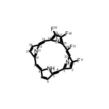 FC1=Cc2cc3ccc(cc4nc(cc5c(F)c(F)c(c(F)c1n2)n5F)C=C4)[nH]3